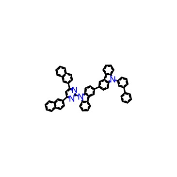 c1ccc(-c2cccc(-n3c4ccccc4c4cc(-c5ccc6c(c5)c5ccccc5n6-c5nc(-c6ccc7ccccc7c6)cc(-c6ccc7ccccc7c6)n5)ccc43)c2)cc1